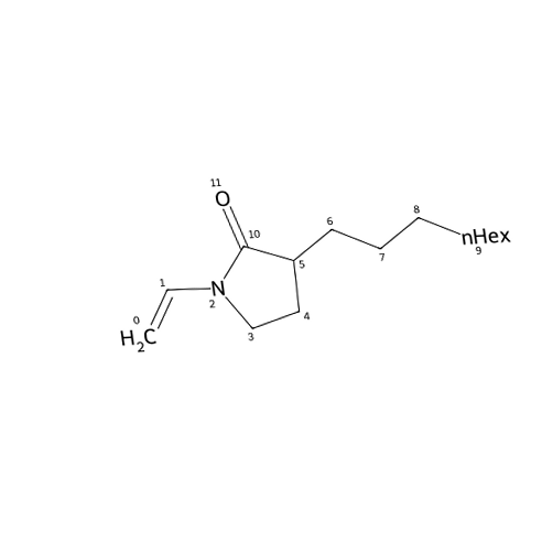 C=CN1CCC(CCCCCCCCC)C1=O